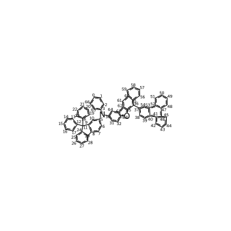 c1ccc(N(c2ccc3c(c2)C(c2ccccc2)(c2ccccc2)c2ccccc2-3)c2ccc3oc4c(-c5ccc6c7ccccc7c7ccccc7c6c5)c5ccccc5cc4c3c2)cc1